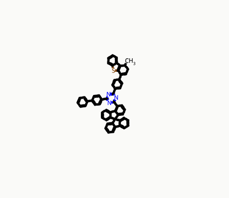 CC1CC=C(c2ccc(-c3nc(-c4ccc(-c5ccccc5)cc4)nc(-c4cccc5c4-c4ccccc4C54c5ccccc5-c5ccccc54)n3)cc2)c2sc3ccccc3c21